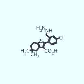 CC1(C)CCc2sc(-c3ccc(Cl)cc3CNN)c(C(=O)O)c2C1